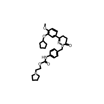 COc1ccc(C2=NN(Cc3ccc(NC(=O)OCCN4CCCC4)cc3)C(=O)CC2)cc1OC1CCCC1